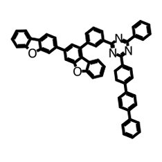 C1=C(c2ccc(-c3ccccc3)cc2)CCC(c2nc(-c3ccccc3)nc(-c3cccc(-c4cc(-c5ccc6c(c5)oc5ccccc56)cc5oc6ccccc6c45)c3)n2)=C1